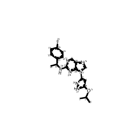 CC(C)Oc1cc(-n2cnc3cnc(NC(C)c4ccc(F)cc4)nc32)n[nH]1